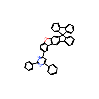 c1ccc(-c2cc(-c3ccc4oc5cc6c(cc5c4c3)-c3ccccc3C63c4ccccc4-c4ccccc43)nc(-c3ccccc3)n2)cc1